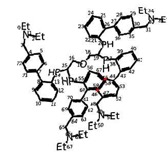 CCN(CC)Cc1ccc(-c2ccccc2PC(COCC(Pc2ccccc2-c2ccc(CN(CC)CC)cc2)Pc2ccccc2-c2ccc(CN(CC)CC)cc2)Pc2ccccc2-c2ccc(CN(CC)CC)cc2)cc1